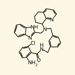 Nc1cccc(Cl)c1C(=O)NCc1cccc(CN(Cc2nc3ccccc3[nH]2)C2CCCc3cccnc32)c1